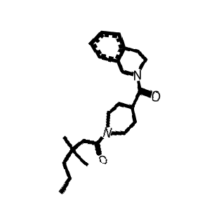 CCCC(C)(C)CC(=O)N1CCC(C(=O)N2CCc3ccccc3C2)CC1